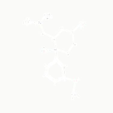 COc1cccc(C2(O)CCC(O)CC2CN(C)C)c1